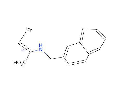 CC(C)/C=C(\NCc1ccc2ccccc2c1)C(=O)O